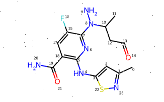 Cc1cc(Nc2nc(N(N)C(C)CC=O)c(F)cc2C(N)=O)sn1